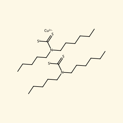 CCCCCCN(CCCCC)C(=S)[S-].CCCCCCN(CCCCC)C(=S)[S-].[Cu+2]